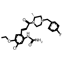 CCOc1cc(C=CC(=O)N2CCN(Cc3ccc(F)cc3)C[C@H]2C)c(NC(N)=O)cc1Cl